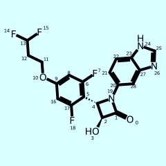 O=C1[C@@H](O)[C@H](c2c(F)cc(OCCC(F)F)cc2F)N1c1ccc2[nH]cnc2c1